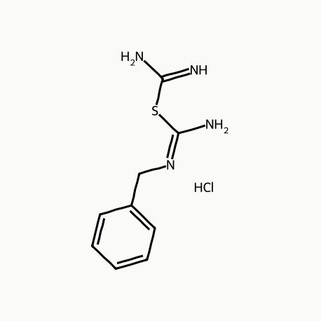 Cl.N=C(N)SC(N)=NCc1ccccc1